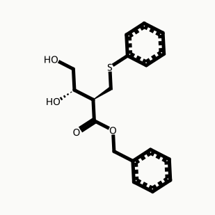 O=C(OCc1ccccc1)[C@H](CSc1ccccc1)[C@H](O)CO